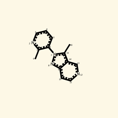 Cc1ncccc1-n1nc2ccncc2c1C